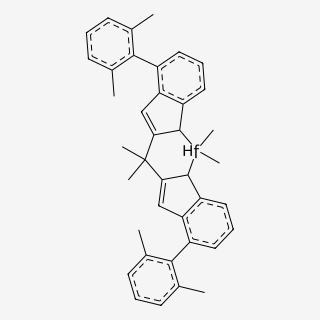 Cc1cccc(C)c1-c1cccc2c1C=C1[CH]2[Hf]([CH3])([CH3])[CH]2C(=Cc3c(-c4c(C)cccc4C)cccc32)C1(C)C